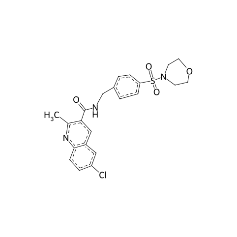 Cc1nc2ccc(Cl)cc2cc1C(=O)NCc1ccc(S(=O)(=O)N2CCOCC2)cc1